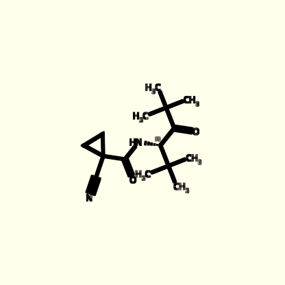 CC(C)(C)C(=O)[C@@H](NC(=O)C1(C#N)CC1)C(C)(C)C